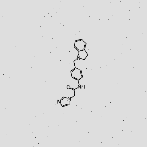 O=C(Cn1ccnc1)Nc1ccc(CN2CCc3ccccc32)cc1